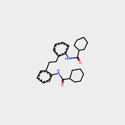 O=C(Nc1ccccc1CCc1ccccc1NC(=O)C1CCCCC1)C1CCCCC1